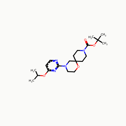 CC(C)Oc1ccnc(N2CCOC3(CCN(C(=O)OC(C)(C)C)CC3)C2)n1